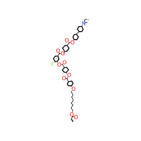 [C-]#[N+]c1ccc(-c2ccc(OC(=O)c3ccc(OC(=O)c4ccc(F)c(OC(=O)c5ccc(OC(=O)c6ccc(OCCCCCCCCOC(=O)C=C)cc6)cc5)c4)cc3)cc2)cc1